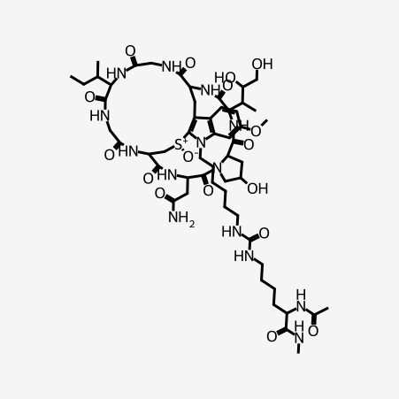 CCC(C)C1NC(=O)CNC(=O)C2Cc3c(n(CCCCCCNC(=O)NCCCCC(NC(C)=O)C(=O)NC)c4cc(OC)ccc34)[S+]([O-])CC(NC(=O)CNC1=O)C(=O)NC(CC(N)=O)C(=O)N1CC(O)CC1C(=O)NC(C(C)C(O)CO)C(=O)N2